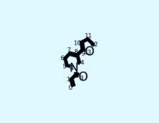 C=CC(=O)N1CCC=C(C2=CCCO2)C1